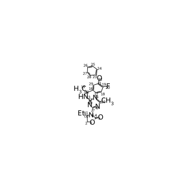 CC[C@H]1COC(=O)N1c1nc(C)nc(N[C@@H](C)c2ccc(F)c(Oc3ccccc3)c2)n1